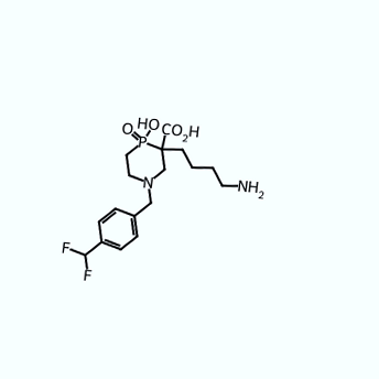 NCCCCC1(C(=O)O)CN(Cc2ccc(C(F)F)cc2)CCP1(=O)O